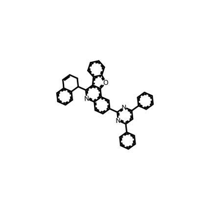 C1=Cc2ccccc2C(c2nc3ccc(-c4nc(-c5ccccc5)cc(-c5ccccc5)n4)cc3c3oc4ccccc4c23)C1